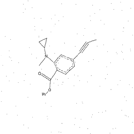 CC#Cc1ccc(C(=O)OC(C)C)c(N(C)C2CC2)c1